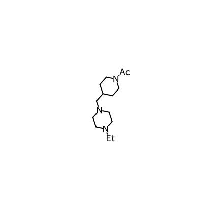 CCN1CCN(CC2CCN(C(C)=O)CC2)CC1